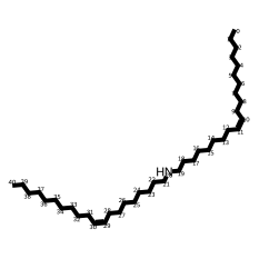 CCCCCCCCCC/C=C\CCCCCCCCNCCCCCCCC/C=C\CCCCCCCCCC